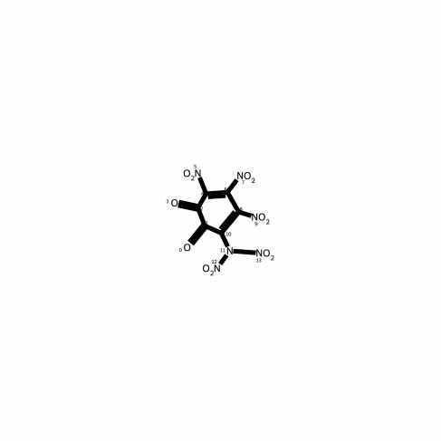 O=C1C(=O)C([N+](=O)[O-])=C([N+](=O)[O-])C([N+](=O)[O-])=C1N([N+](=O)[O-])[N+](=O)[O-]